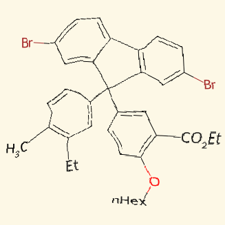 CCCCCCOc1ccc(C2(c3ccc(C)c(CC)c3)c3cc(Br)ccc3-c3ccc(Br)cc32)cc1C(=O)OCC